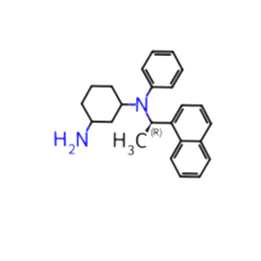 C[C@H](c1cccc2ccccc12)N(c1ccccc1)C1CCCC(N)C1